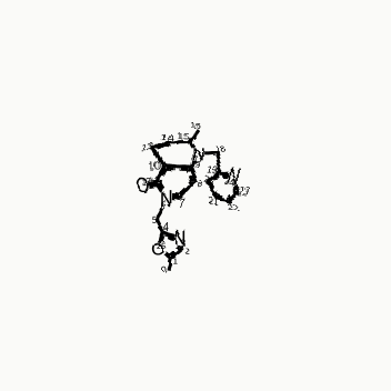 Cc1cnc(Cn2ccc3c(c2=O)C=CC(C)N3Cc2ccccn2)o1